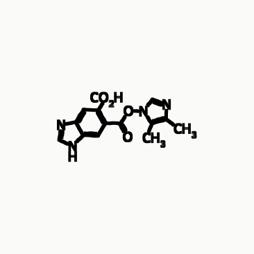 Cc1ncn(OC(=O)c2cc3[nH]cnc3cc2C(=O)O)c1C